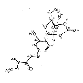 CC[C@@H](N)C(=O)ONC1=NC(O)N([C@@H]2O[C@H](CO)[C@H]3OC(=O)O[C@H]32)C=C1